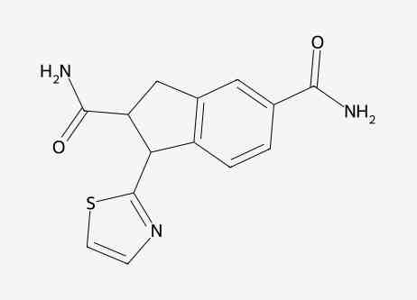 NC(=O)c1ccc2c(c1)CC(C(N)=O)C2c1nccs1